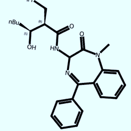 CCCC[C@H](O)[C@@H](CC(C)C)C(=O)NC1N=C(c2ccccc2)c2ccccc2N(C)C1=O